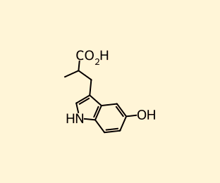 CC(Cc1c[nH]c2ccc(O)cc12)C(=O)O